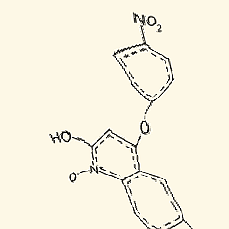 COc1ccc2c(c1)c(Oc1ccc([N+](=O)[O-])cc1)cc(O)[n+]2[O-]